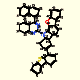 C1=CC2c3ccccc3SC2C(C2=Cc3c(n(-c4nc(-c5cccc6ccccc56)c5c(n4)=CCCC=5)c4c3ccc3c5ccccc5oc34)CC2)=C1